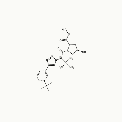 CNC(=O)C1CC(O)CN1C(=O)[C@@H](n1cc(-c2cccc(C(F)(F)F)c2)nn1)C(C)(C)C